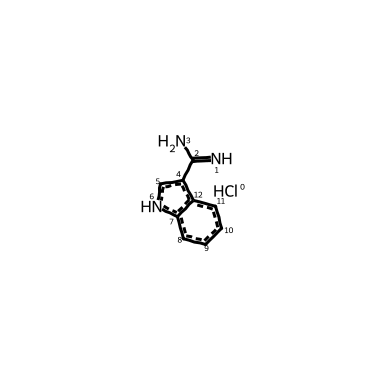 Cl.N=C(N)c1c[nH]c2ccccc12